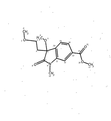 COCCC1(OC)C(=O)N(C)c2cc(C(=O)OC)ccc21